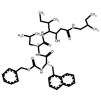 CCC(C)CNC(=O)CC(O)C(NC(=O)[C@H](CC(C)C)NC(=O)[C@H](Cc1cccc2ccccc12)NC(=O)OCc1ccccc1)C(C)CC